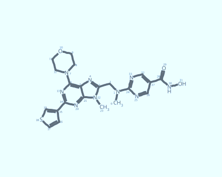 CN(Cc1nc2c(N3CCOCC3)nc(-c3ccsc3)nc2n1C)c1ncc(C(=O)NO)cn1